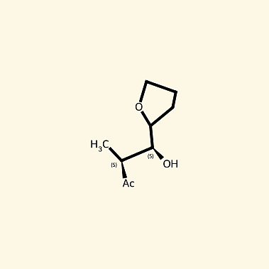 CC(=O)[C@@H](C)[C@H](O)C1CCCO1